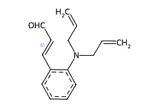 C=CCN(CC=C)c1ccccc1/C=C/C=O